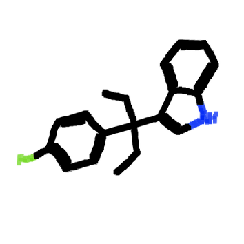 CCC(CC)(c1ccc(F)cc1)c1c[nH]c2ccccc12